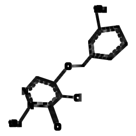 CC(C)(C)c1cccc(COc2cnn(C(C)(C)C)c(=O)c2Cl)c1